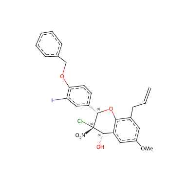 C=CCc1cc(OC)cc2c1O[C@@H](c1ccc(OCc3ccccc3)c(I)c1)[C@](Cl)([N+](=O)[O-])[C@H]2O